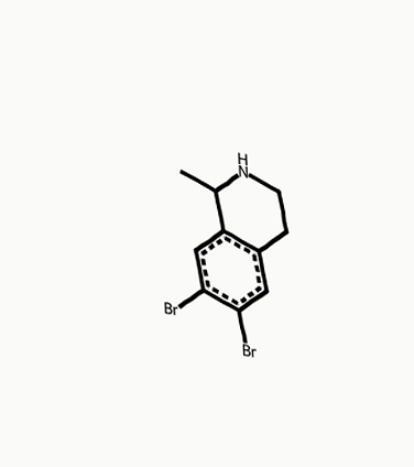 CC1NCCc2cc(Br)c(Br)cc21